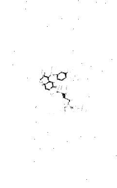 CCOC(=O)CN(C)CC=CC(=O)Nc1ccc2ncc(C#N)c(Nc3cccc(Br)c3)c2c1